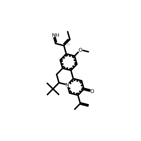 C=C(C)c1cn2c(cc1=O)-c1cc(OC)c(/C(C=N)=C/C)cc1CC2C(C)(C)C